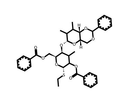 CCS[C@@H]1O[C@@H](COC(=O)c2ccccc2)[C@@H](O[C@H]2O[C@H]3COC(c4ccccc4)O[C@H]3C(C)C2C)C(C)C1OC(=O)c1ccccc1